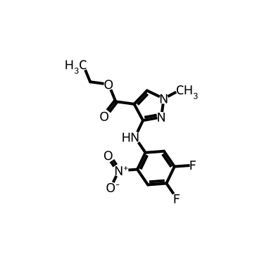 CCOC(=O)c1cn(C)nc1Nc1cc(F)c(F)cc1[N+](=O)[O-]